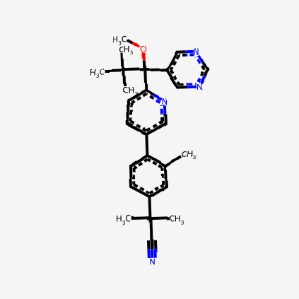 COC(c1cncnc1)(c1ccc(-c2ccc(C(C)(C)C#N)cc2C)cn1)C(C)(C)C